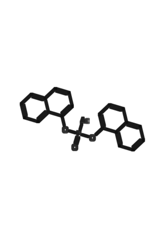 CC(=O)P(=O)(Oc1cccc2ccccc12)Oc1cccc2ccccc12